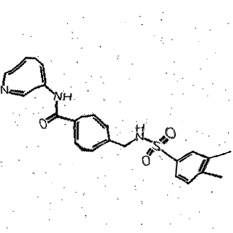 Cc1ccc(S(=O)(=O)NCc2ccc(C(=O)Nc3cccnc3)cc2)cc1C